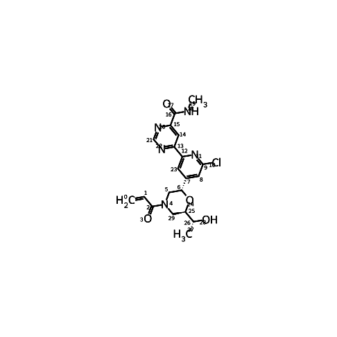 C=CC(=O)N1C[C@H](c2cc(Cl)nc(-c3cc(C(=O)NC)ncn3)c2)O[C@@H]([C@@H](C)O)C1